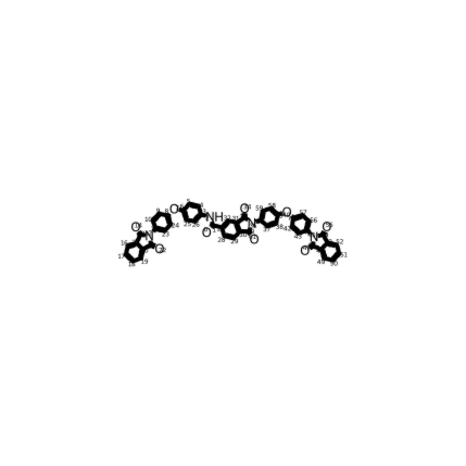 O=C(Nc1ccc(Oc2ccc(N3C(=O)c4ccccc4C3=O)cc2)cc1)c1ccc2c(c1)C(=O)N(c1ccc(Oc3ccc(N4C(=O)c5ccccc5C4=O)cc3)cc1)C2=O